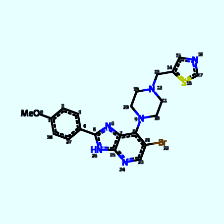 COc1ccc(-c2nc3c(N4CCN(Cc5cncs5)CC4)c(Br)cnc3[nH]2)cc1